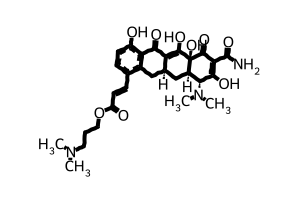 CN(C)CCCOC(=O)/C=C/c1ccc(O)c2c1C[C@@H]1C[C@@H]3[C@@H](N(C)C)C(O)=C(C(N)=O)C(=O)[C@@]3(O)C(O)=C1C2=O